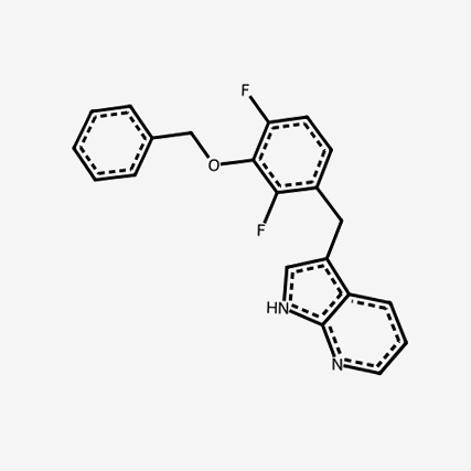 Fc1ccc(Cc2c[nH]c3ncccc23)c(F)c1OCc1ccccc1